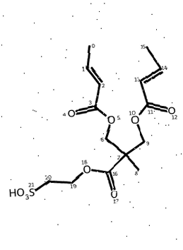 CC=CC(=O)OCC(C)(COC(=O)C=CC)C(=O)OCCS(=O)(=O)O